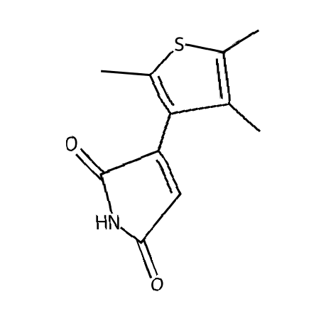 Cc1sc(C)c(C2=CC(=O)NC2=O)c1C